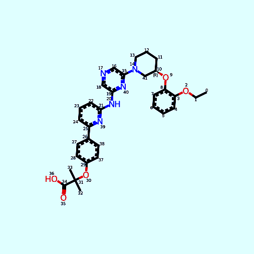 CCOc1ccccc1O[C@@H]1CCCN(c2cncc(Nc3cccc(-c4ccc(OC(C)(C)C(=O)O)cc4)n3)n2)C1